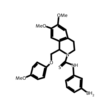 Bc1cccc(NC(=S)N2CCc3cc(OC)c(OC)cc3C2COc2ccc(OC)cc2)c1